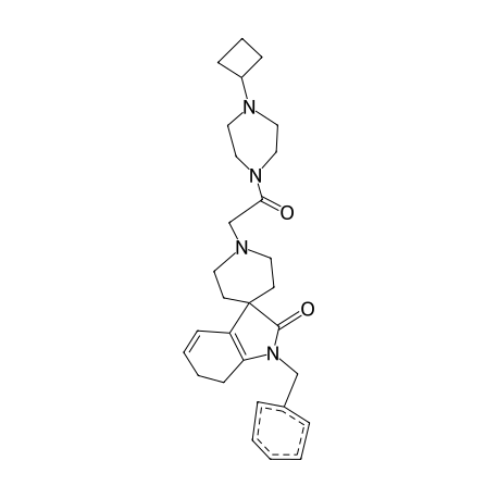 O=C(CN1CCC2(CC1)C(=O)N(Cc1ccccc1)C1=C2C=CCC1)N1CCN(C2CCC2)CC1